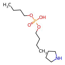 C1CCNC1.CCCCOP(=O)(O)OCCCC